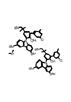 Cc1cc(Cl)cc(-c2cc(C(C)(C)CC(C)(C)C)cc(-n3c4ccc(C(C)(C)C)cc4c4cc(C(C)(C)C)ccc43)c2O)c1.Cc1cc(Cl)cc(-c2cc(C(C)(C)CC(C)(C)C)cc(-n3c4ccc(C(C)(C)C)cc4c4cc(C(C)(C)C)ccc43)c2O)c1.[CH3][Zr][CH3]